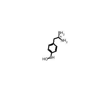 B[C@@H](N)Cc1ccc(BO)cc1